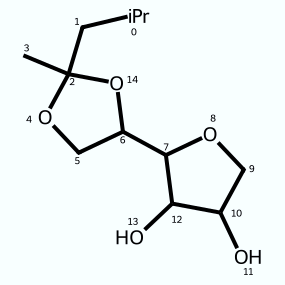 CC(C)CC1(C)OCC(C2OCC(O)C2O)O1